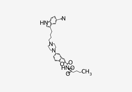 CCCCS(=O)(=O)NC(=O)c1cc2cc(N3CCN(CCCCc4c[nH]c5ccc(C#N)cc45)CC3)ccc2o1